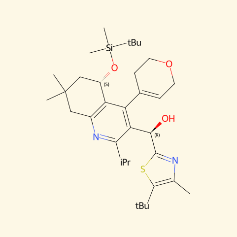 Cc1nc([C@H](O)c2c(C(C)C)nc3c(c2C2=CCOCC2)[C@@H](O[Si](C)(C)C(C)(C)C)CC(C)(C)C3)sc1C(C)(C)C